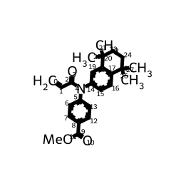 C=CC(=O)N(c1ccc(C(=O)OC)cc1)c1ccc2c(c1)C(C)(C)CCC2(C)C